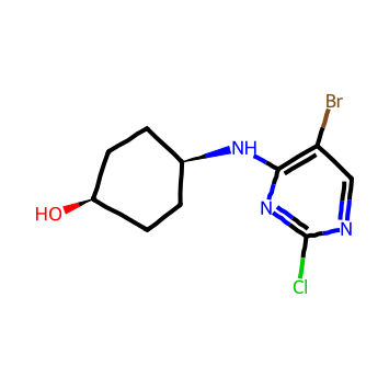 O[C@H]1CC[C@@H](Nc2nc(Cl)ncc2Br)CC1